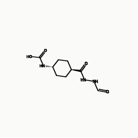 O=CNNC(=O)[C@H]1CC[C@H](NC(=O)O)CC1